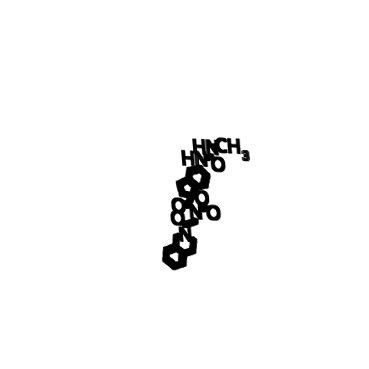 CNC(=O)Nc1ccc2c(c1)CCC21OC(=O)N(CC(=O)N2CCc3ccccc3C2)C1=O